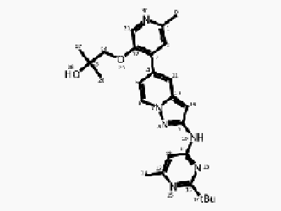 Cc1cc(-c2ccn3nc(Nc4cc(C)nc(C(C)(C)C)n4)cc3c2)c(OCC(C)(C)O)cn1